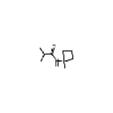 CC(C)C(=O)NC1(C)CCC1